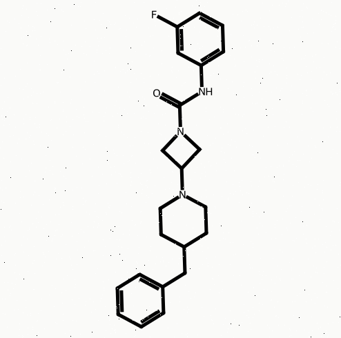 O=C(Nc1cccc(F)c1)N1CC(N2CCC(Cc3ccccc3)CC2)C1